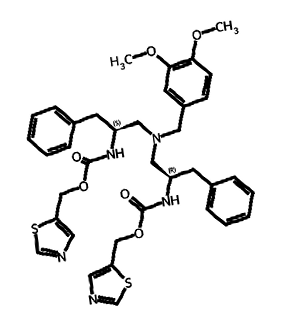 COc1ccc(CN(C[C@@H](Cc2ccccc2)NC(=O)OCc2cncs2)C[C@H](Cc2ccccc2)NC(=O)OCc2cncs2)cc1OC